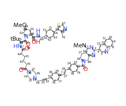 CNc1nc(-c2cnc3ccccc3c2)nc2c1CCN(C(=O)c1ccc(/C=C/c3ccc(C#CCN4CCN(C(=O)CCCCC(=O)N[C@H](C(=O)N5C[C@H](OC)C[C@H]5[C@@H](O)NCc5ccc(-c6scnc6C)cc5)C(C)(C)C)CC4)cc3)cc1)C2